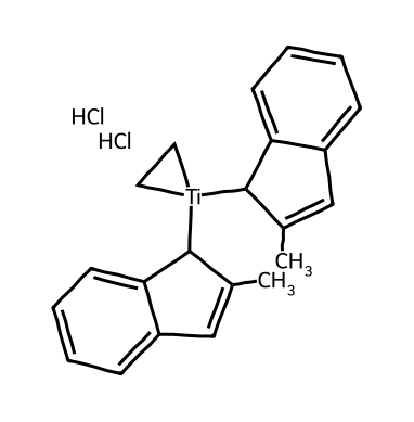 CC1=Cc2ccccc2[CH]1[Ti]1([CH]2C(C)=Cc3ccccc32)[CH2][CH2]1.Cl.Cl